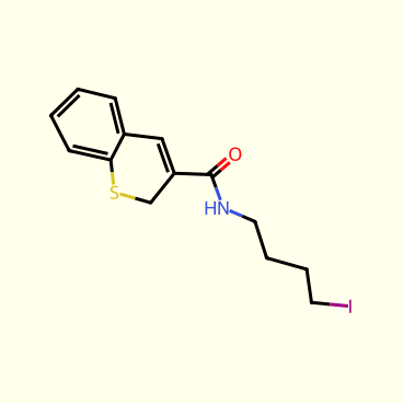 O=C(NCCCCI)C1=Cc2ccccc2SC1